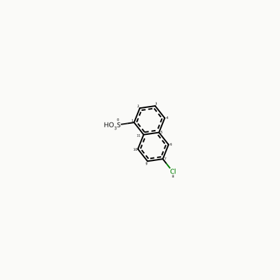 O=S(=O)(O)c1cccc2cc(Cl)ccc12